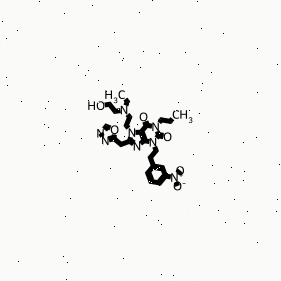 CCCn1c(=O)c2c(nc(Cc3nnco3)n2CCN(CC)CCO)n(CCc2cccc([N+](=O)[O-])c2)c1=O